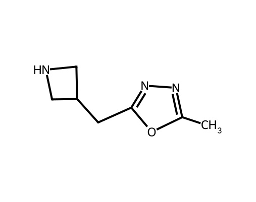 Cc1nnc(CC2CNC2)o1